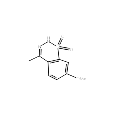 COc1ccc2c(c1)S(=O)(=O)NN=C2C